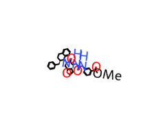 COC(=O)c1cccc(NC(=O)NCC(=O)N(Cc2ccco2)[C@@H]2c3ccccc3CC[C@@H]2Cc2ccccc2)c1